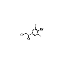 O=C(CCl)c1cc(F)c(Br)c(F)c1